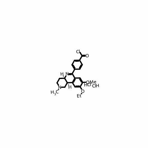 CCOc1cc2c(cc1OC)C(c1ccc(C(=O)Cl)cc1)=N[C@@H]1CCN(C)C[C@H]21.Cl.Cl